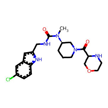 CN(C(=O)NCc1cc2cc(Cl)ccc2[nH]1)[C@@H]1CCCN(C(=O)C2COCCN2)C1